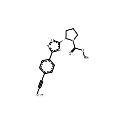 CCCCCCCCC#Cc1ccc(-c2noc([C@@H]3CCCN3C(=O)OC(C)(C)C)n2)cc1